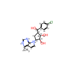 Cc1ncnc2c1ccn2C1CC(C(O)c2ccc(Cl)cc2)[C@@H](O)C1O